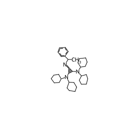 CC(N=c1c(N(C2CCCCC2)C2CCCCC2)c1N(C1CCCCC1)C1CCCCC1)c1ccccc1